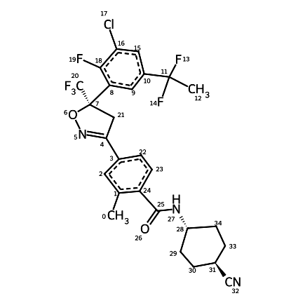 Cc1cc(C2=NO[C@](c3cc(C(C)(F)F)cc(Cl)c3F)(C(F)(F)F)C2)ccc1C(=O)N[C@H]1CC[C@H](C#N)CC1